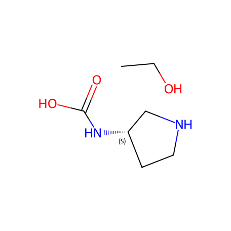 CCO.O=C(O)N[C@H]1CCNC1